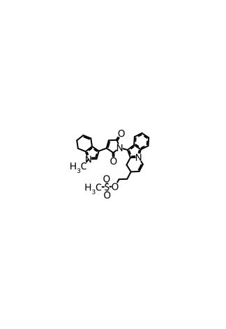 Cn1cc(C2=CC(=O)N(c3c4n(c5ccccc35)C=CC(CCOS(C)(=O)=O)C4)C2=O)c2c1CCC=C2